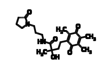 CC1=C(C)C(=O)C(CCC(C)(O)C(=O)NCCCN2CCCC2=O)=C(C)C1=O